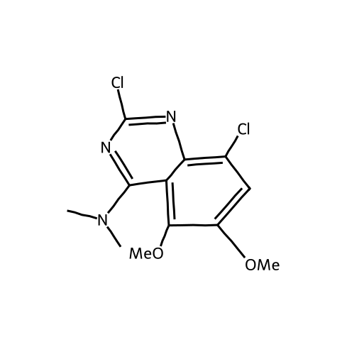 COc1cc(Cl)c2nc(Cl)nc(N(C)C)c2c1OC